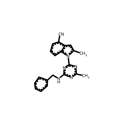 Cc1nc(NCc2ccccc2)nc(-n2c(C)cc3c(C#N)cccc32)n1